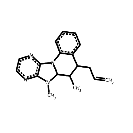 C=CCC1c2ccccc2N2c3nccnc3N(C)C2C1C